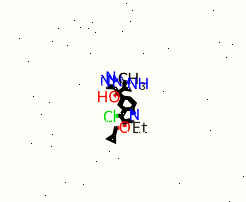 CCc1nc2ccc(C(O)(c3cnnn3C)C3CNC3)cc2c(Cl)c1OCC1CC1